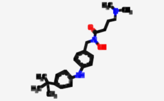 CN(C)CCCC(=O)N(O)Cc1ccc(Nc2ccc(C(C)(C)C)cc2)cc1